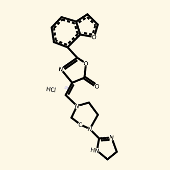 Cl.O=C1OC(c2cccc3ccoc23)=N/C1=C/N1CCN(C2=NCCN2)CC1